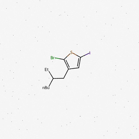 CCCCC(CC)Cc1cc(I)sc1Br